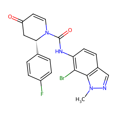 Cn1ncc2ccc(NC(=O)N3C=CC(=O)C[C@H]3c3ccc(F)cc3)c(Br)c21